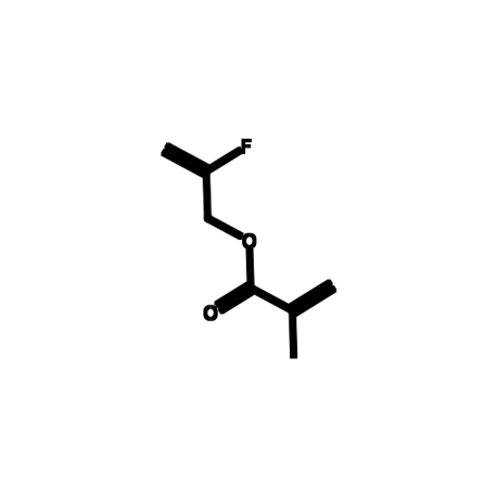 C=C(F)COC(=O)C(=C)C